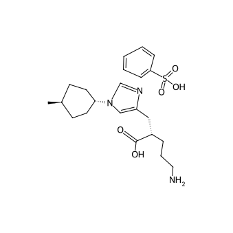 C[C@H]1CC[C@H](n2cnc(C[C@H](CCCN)C(=O)O)c2)CC1.O=S(=O)(O)c1ccccc1